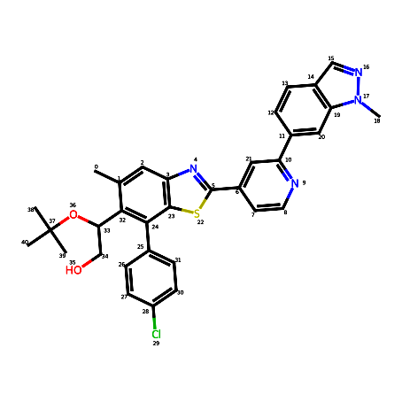 Cc1cc2nc(-c3ccnc(-c4ccc5cnn(C)c5c4)c3)sc2c(-c2ccc(Cl)cc2)c1C(CO)OC(C)(C)C